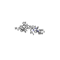 C\C=C(/C=C(F)\N=C(/N)C(C)(C)C)C(C)(C)CCC(C)(C)c1nc([SH](C)C)cc(C(F)(F)F)n1